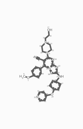 COc1ccc(-c2c(C#N)c(N3CCN(CCO)CC3)nc3nc(Nc4ccc(Oc5ccncc5)cc4)nn23)cc1